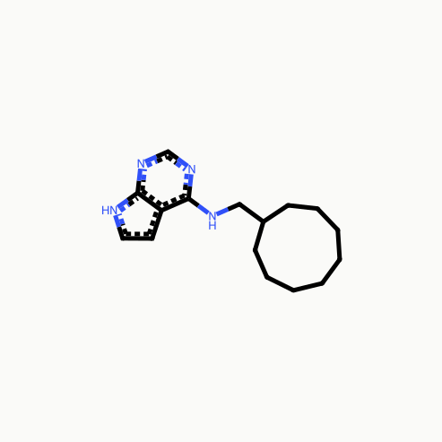 c1nc(NCC2CCCCCCCC2)c2cc[nH]c2n1